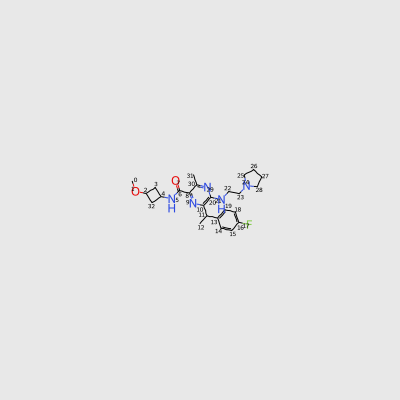 COC1CC(NC(=O)c2nc(C(C)c3ccc(F)cc3)c(NCCN3CCCC3)nc2C)C1